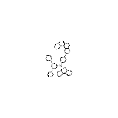 c1ccc(-c2cc(-c3ccccc3)cc(N(c3ccc(-c4ccc5ccc6ccc7ccccc7c6c5c4)cc3)c3cc4ccccc4c4ccccc34)c2)cc1